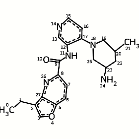 CCc1coc2ccc(C(=O)Nc3cnccc3N3CC(C)CC(N)C3)nc12